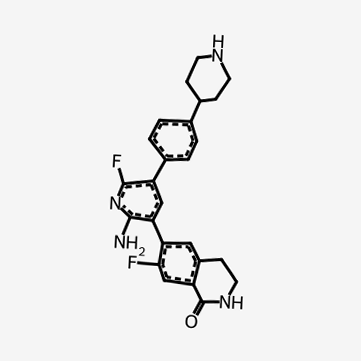 Nc1nc(F)c(-c2ccc(C3CCNCC3)cc2)cc1-c1cc2c(cc1F)C(=O)NCC2